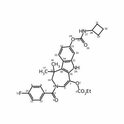 CCOC(=O)OC1=CN(C(=O)c2ccc(F)cc2)CC(C)(C)c2c1[nH]c1cc(OC(=O)NC3CCC3)ccc21